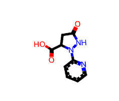 O=C1CC(C(=O)O)N(c2ccccn2)N1